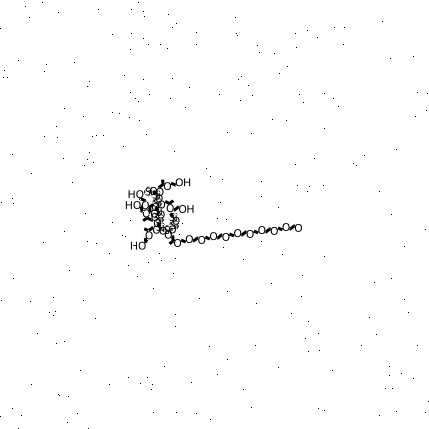 COCCOCCOCCOCCOCCOCCOCCOCCOCCOCCOC(C)CO[Si](C)(O[Si](C)(C)O[Si](C)(C)C)O[Si](C)(OCC(C)OCCO)O[Si](C)(OCC(C)OCCO)O[Si](C)(OCC(C)OCCO)O[Si](C)(OCC(C)OCCO)O[Si](C)(OCC(C)OCCO)O[Si](C)(C)C